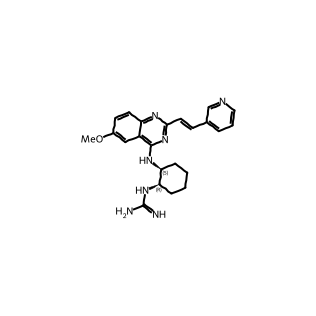 COc1ccc2nc(C=Cc3cccnc3)nc(N[C@H]3CCCC[C@H]3NC(=N)N)c2c1